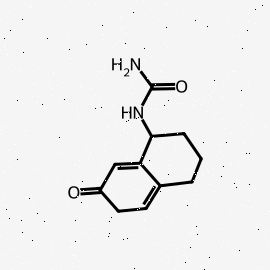 NC(=O)NC1CCCC2=CCC(=O)C=C21